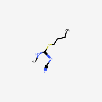 [CH2]CCCSC(=NC#N)NC